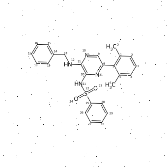 Cc1cccc(C)c1-c1cnc(NCc2ccccc2)c(NS(=O)(=O)c2ccccc2)n1